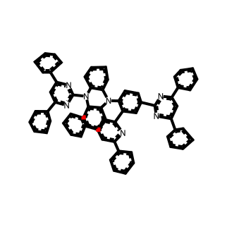 c1ccc(-c2cc(-c3ccccc3)nc(-c3ccc(N4c5ccccc5N(c5nc(-c6ccccc6)cc(-c6ccccc6)n5)c5ccccc54)c(-c4nc(-c5ccccc5)cc(-c5ccccc5)n4)c3)n2)cc1